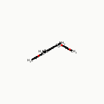 CCCCCCCCCCCCSC(N)=CC(=O)OCCCCCCCCCCOC(=O)C=C(N)SCCCCCCCCCCCC